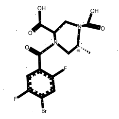 C[C@@H]1CN(C(=O)c2cc(F)c(Br)cc2F)C(C(=O)O)CN1C(=O)O